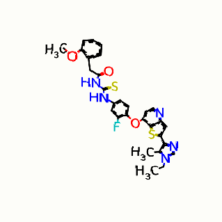 CCn1cnc(-c2cc3nccc(Oc4ccc(NC(=S)NC(=O)Cc5ccccc5OC)cc4F)c3s2)c1C